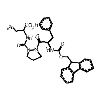 CC(C)CC(NC(=O)N1CCCN1C(=O)C(Cc1ccccc1)NC(=O)OCC1c2ccccc2-c2ccccc21)C(=O)O